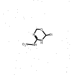 CCC1NC(N[N+](=O)[O-])=NCO1